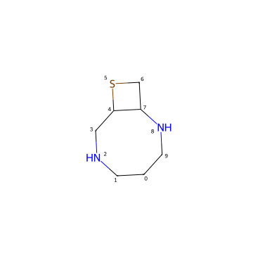 C1CNCC2SCC2NC1